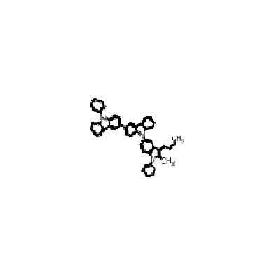 C=c1/c(=C\C=C/C)c2cc(-n3c4ccccc4c4cc(-c5ccc6c(c5)c5ccccc5n6-c5ccccc5)ccc43)ccc2n1-c1ccccc1